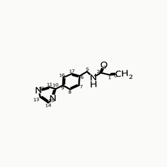 C=CC(=O)NCc1ccc(-c2cnccn2)cc1